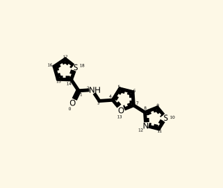 O=C(NCc1ccc(-c2cscn2)o1)c1cccs1